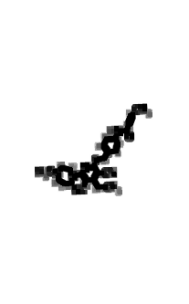 CC#CC(=O)Nc1ccc(CSc2nc(N3CCCN(C)CC3)c(C#N)c(CC(F)(F)F)c2C#N)cc1